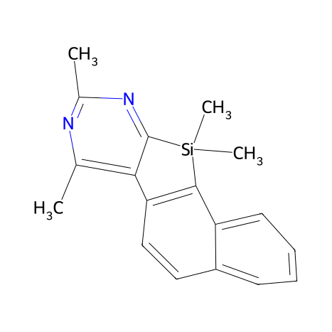 Cc1nc(C)c2c(n1)[Si](C)(C)c1c-2ccc2ccccc12